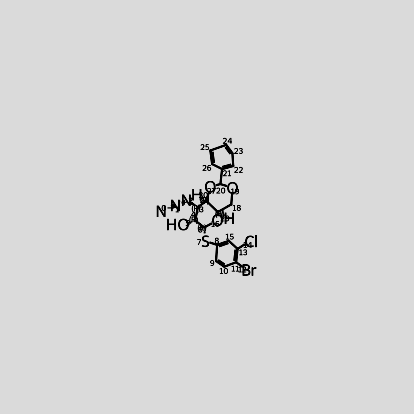 [N-]=[N+]=N[C@@H]1[C@@H](O)[C@@H](Sc2ccc(Br)c(Cl)c2)O[C@@H]2COC(c3ccccc3)O[C@H]12